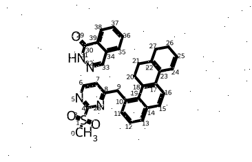 CS(=O)(=O)c1nccc(Cc2cccc3ccc4c(c23)CCC2=C4C=CCC2)n1.O=c1[nH]ncc2ccccc12